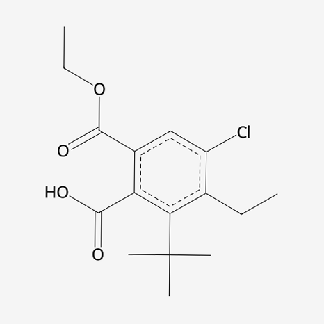 CCOC(=O)c1cc(Cl)c(CC)c(C(C)(C)C)c1C(=O)O